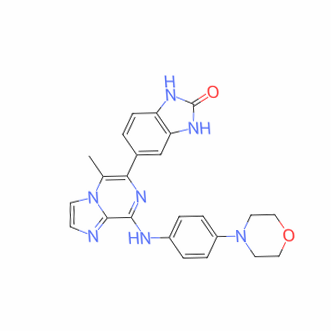 Cc1c(-c2ccc3[nH]c(=O)[nH]c3c2)nc(Nc2ccc(N3CCOCC3)cc2)c2nccn12